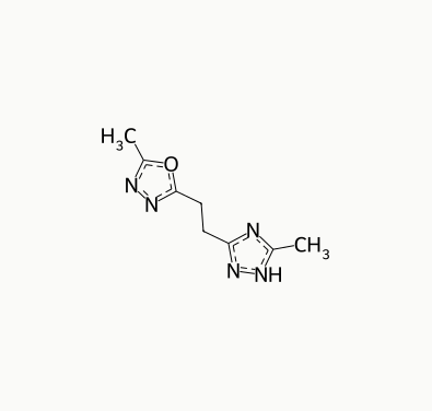 Cc1nc(CCc2nnc(C)o2)n[nH]1